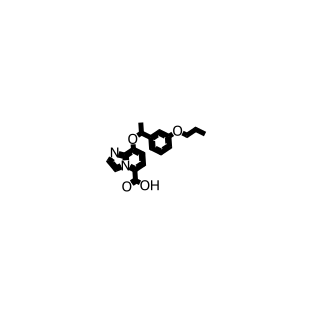 CCCOc1cccc(C(C)Oc2ccc(C(=O)O)n3ccnc23)c1